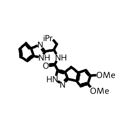 COc1cc2c(cc1OC)-c1n[nH]c(C(=O)NC(CC(C)C)c3nc4ccccc4[nH]3)c1C2